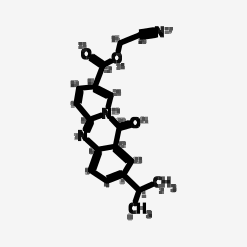 CC(C)c1ccc2nc3ccc(C(=O)OCC#N)cn3c(=O)c2c1